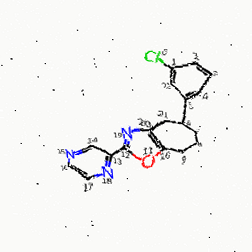 Clc1cccc(C2CCCc3oc(-c4cnccn4)nc3C2)c1